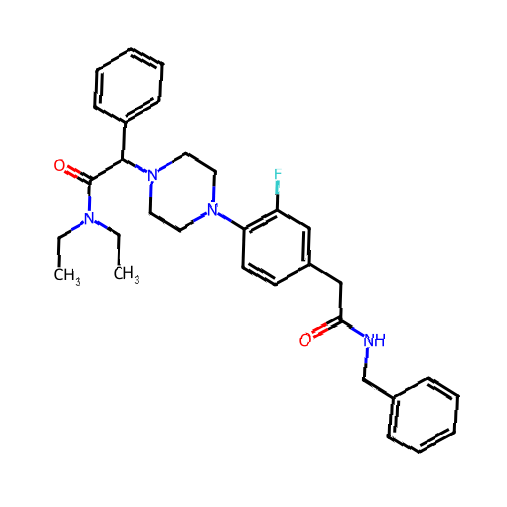 CCN(CC)C(=O)C(c1ccccc1)N1CCN(c2ccc(CC(=O)NCc3ccccc3)cc2F)CC1